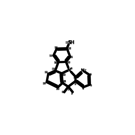 CC1(C)c2cccnc2-n2c3cc(S)ccc3c3cccc1c32